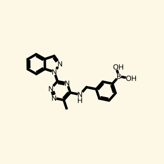 Cc1nnc(-n2ncc3ccccc32)nc1NCc1cccc(B(O)O)c1